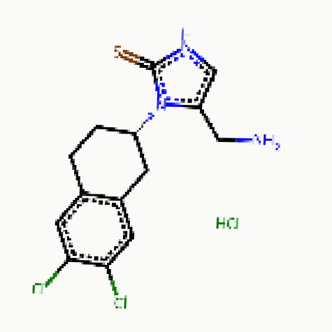 Cl.NCc1c[nH]c(=S)n1[C@H]1CCc2cc(Cl)c(Cl)cc2C1